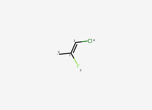 [CH2]/C(F)=C/Cl